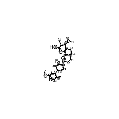 COc1cc(-c2ccc(C3CCc4ccc(C(C5CC5)[C@H](C)C(=O)O)cc4O3)c(F)c2)c(F)cn1